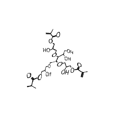 C=C(C)C(=O)OCC(O)COC[C@H](OCC(O)COC(=O)C(=C)C)[C@@H](OCC(O)COC(=O)C(=C)C)[C@H](O)CO